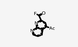 CC(=O)c1cc(C(=O)F)nc2ncccc12